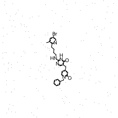 Cc1cc(Br)cnc1CCCCNc1ncc(Cc2ccn(Cc3ccccc3)c(=O)c2)c(=O)[nH]1